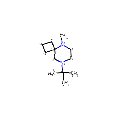 CN1CCN(C(C)(C)C)CC12CCC2